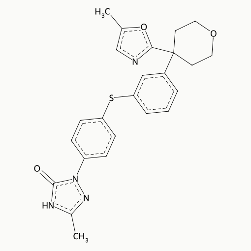 Cc1nn(-c2ccc(Sc3cccc(C4(c5ncc(C)o5)CCOCC4)c3)cc2)c(=O)[nH]1